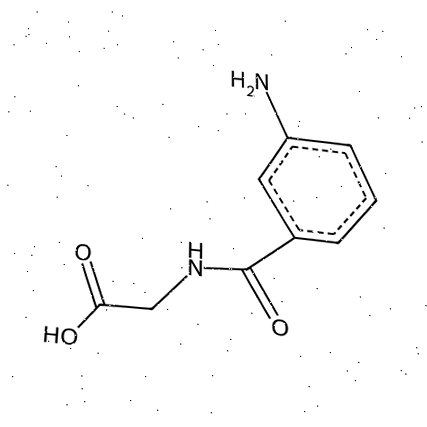 Nc1cccc(C(=O)NCC(=O)O)c1